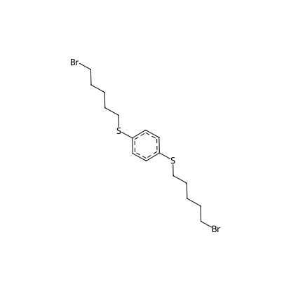 BrCCCCCSc1ccc(SCCCCCBr)cc1